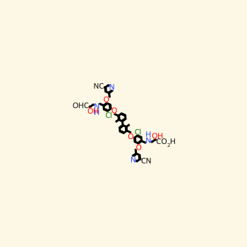 Cc1c(COc2cc(OCc3cncc(C#N)c3)c(CNCC(O)C=O)cc2Cl)cccc1-c1cccc(COc2cc(OCc3cncc(C#N)c3)c(CNCC(O)C(=O)O)cc2Cl)c1C